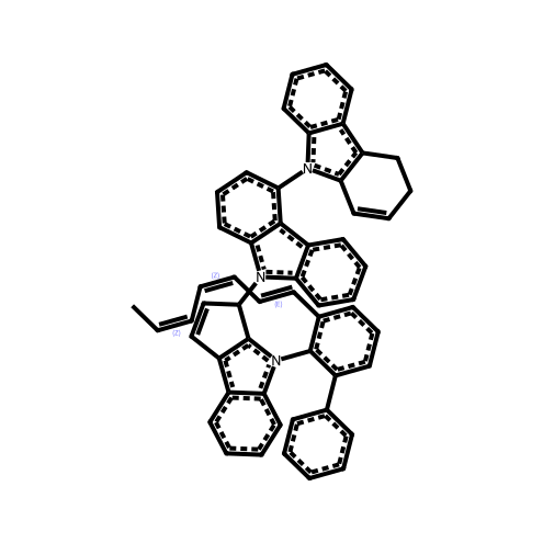 C\C=C/C=C\C=C\c1cccc(-c2ccccc2)c1-n1c2c(c3ccccc31)C=CC2n1c2ccccc2c2c(-n3c4c(c5ccccc53)CCC=C4)cccc21